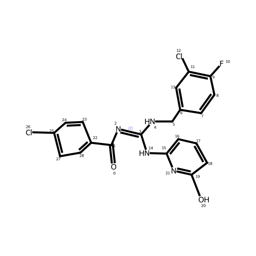 O=C(/N=C(/NCc1ccc(F)c(Cl)c1)Nc1cccc(O)n1)c1ccc(Cl)cc1